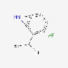 CCC(CC)c1cccc2c1N2.F